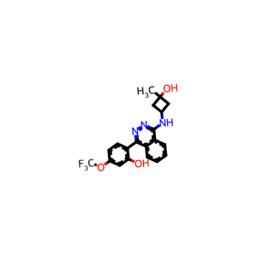 CC1(O)CC(Nc2nnc(-c3ccc(OC(F)(F)F)cc3O)c3ccccc23)C1